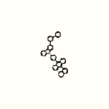 c1ccc(-c2cccc(-c3ccc4c(c3)c3ccccc3n4-c3ccc(-c4c5ccccc5c(-c5cccc6c5CCCC6)c5ccccc45)cc3)c2)cc1